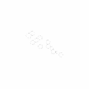 c1cc(-c2c3ccccc3c(-c3cccc4ccccc34)c3ccccc23)cc(-c2cc3c4ccc5c6ccccc6sc5c4oc3c3ccccc23)c1